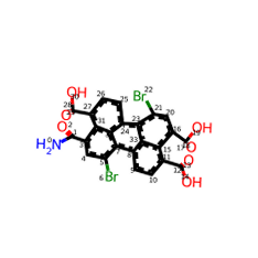 NC(=O)c1cc(Br)c2c3ccc(C(=O)O)c4c(C(=O)O)cc(Br)c(c5ccc(C(=O)O)c1c52)c43